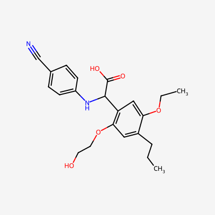 CCCc1cc(OCCO)c(C(Nc2ccc(C#N)cc2)C(=O)O)cc1OCC